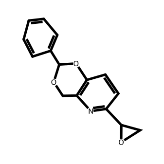 c1ccc(C2OCc3nc(C4CO4)ccc3O2)cc1